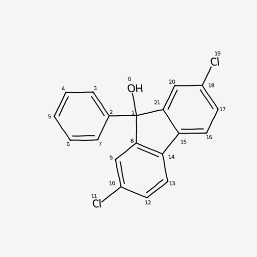 OC1(c2ccccc2)c2cc(Cl)ccc2-c2ccc(Cl)cc21